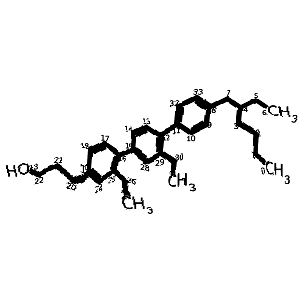 CCCCC(CC)Cc1ccc(-c2ccc(-c3ccc(CCCO)cc3CC)cc2CC)cc1